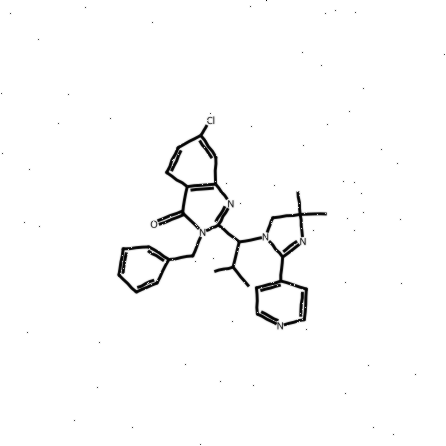 CC(C)C(c1nc2cc(Cl)ccc2c(=O)n1Cc1ccccc1)N1CC(C)(C)N=C1c1ccncc1